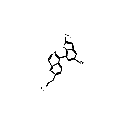 Cc1cc2cc(C(C)C)cc(-c3nccc4cc(CCC(F)(F)F)ccc34)c2o1